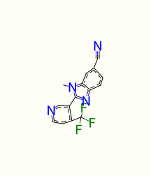 Cn1c(-c2cnccc2C(F)(F)F)nc2ccc(C#N)cc21